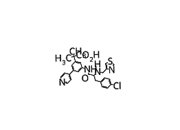 CC(C)(C(=O)O)c1cc(NC(=O)C(Cc2ccc(Cl)cc2)NCc2cscn2)cc(-c2ccncc2)c1